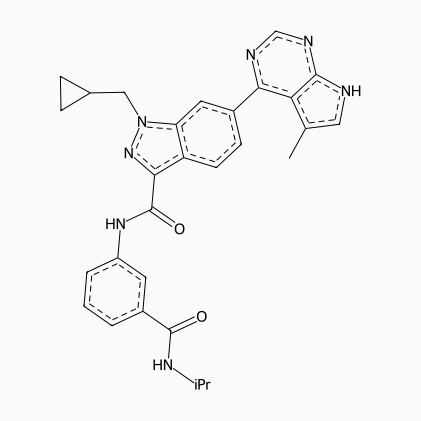 Cc1c[nH]c2ncnc(-c3ccc4c(C(=O)Nc5cccc(C(=O)NC(C)C)c5)nn(CC5CC5)c4c3)c12